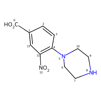 O=C(O)c1ccc(N2CCNCC2)c([N+](=O)[O-])c1